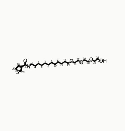 O=C(N=CCCCCCCCCCCCOCCOCCOCCO)c1ccsc1